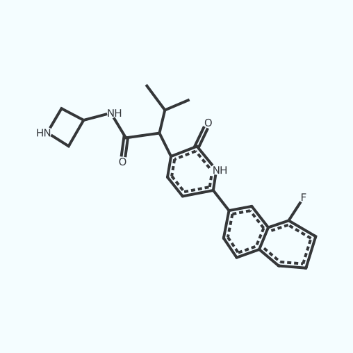 CC(C)C(C(=O)NC1CNC1)c1ccc(-c2ccc3cccc(F)c3c2)[nH]c1=O